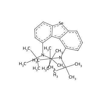 CC(C)(C)N(c1cccc2[se]c3cccc(N(C(C)(C)C)C(C)(C)C)c3c12)C(C)(C)C